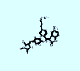 CC(=O)NCCCc1ccc(/C(Nc2ccc(/C=C3\NC(=O)N(C)C3=O)cc2)=C2/C(=O)Nc3ccc([N+](=O)[O-])cc32)cc1